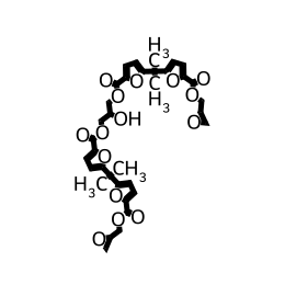 CC(C)(c1ccc(C(=O)OCC(O)COC(=O)c2ccc(C(C)(C)c3ccc(C(=O)OCC4CO4)o3)o2)o1)c1ccc(C(=O)OCC2CO2)o1